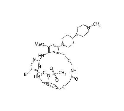 COc1cc(N2CCC(N3CCN(C)CC3)CC2)c2cc1Nc1ncc(Br)c(n1)Nc1ccc(cc1N(C)S(C)(=O)=O)CCC(=O)NCCC2